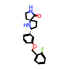 O=C1NCC[C@]12CC[C@H](c1cccc(OCc3ccccc3F)c1)N2